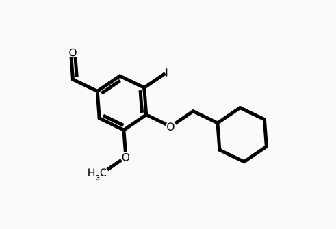 COc1cc(C=O)cc(I)c1OCC1CCCCC1